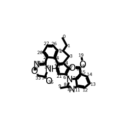 CCCCc1cc(-n2c(C)nc3cccc(C(=O)OC)c32)ccc1-c1ccccc1C1=NOCC(=O)N1